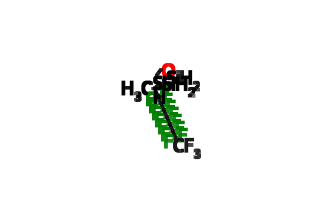 CC([SiH]1CCO[SiH2][SiH2]1)C(F)(F)C(F)(F)C(F)(F)C(F)(F)C(F)(F)C(F)(F)C(F)(F)C(F)(F)F